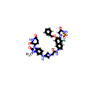 Cn1c(=O)n(C2CCC(=O)NC2=O)c2ccc(NC3CN(CC(=O)Nc4ccc5c(F)c(N6CC(=O)NS6(=O)=O)c(OCc6ccccc6)cc5c4)C3)cc21